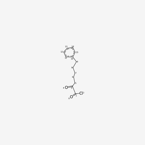 O=C(Cl)C(=O)CCCCCc1ccccc1